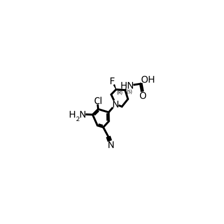 N#Cc1cc(N)c(Cl)c(N2CC[C@H](NC(=O)O)[C@H](F)C2)c1